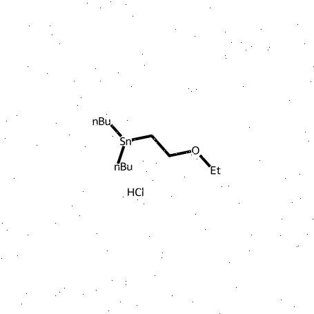 CCC[CH2][Sn]([CH2]CCC)[CH2]COCC.Cl